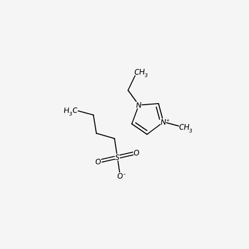 CCCCS(=O)(=O)[O-].CCn1cc[n+](C)c1